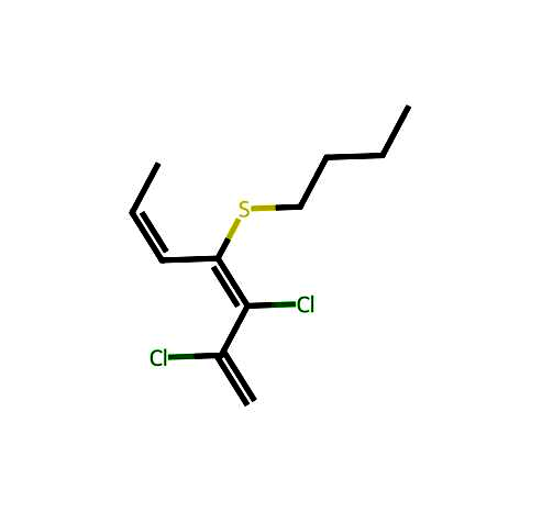 C=C(Cl)/C(Cl)=C(\C=C/C)SCCCC